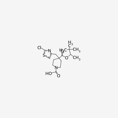 CC(OC(=O)C1(Cc2csc(Cl)n2)CCN(C(=O)O)CC1)C(C)(C)C